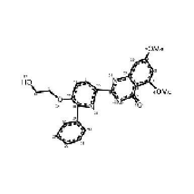 COc1cc(OC)c2c(=O)[nH]c(-c3ccc(OCCO)c(-c4ccccc4)n3)nc2c1